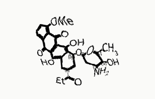 CCC(=O)[C@@H]1Cc2c(O)c3c(c(O)c2[C@@H](O[C@H]2C[C@H](N)[C@H](O)[C@H](C)O2)C1)C(=O)c1c(OC)cccc1C3=O